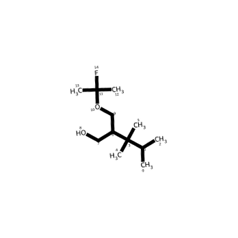 CC(C)C(C)(C)C(CO)COC(C)(C)F